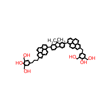 CC1(C)c2cc(-c3ccc4ccc5cc(CCCc6cc(CO)c(O)c(CO)c6)cc6ccc3c4c56)ccc2-c2ccc(-c3ccc4ccc5cc(Cc6cc(CO)c(O)c(CO)c6)cc6ccc3c4c56)cc21